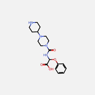 O=C(O)C(NC(=O)N1CCN(C2CCNCC2)CC1)Oc1ccccc1